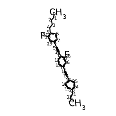 CCCCCc1ccc(C#Cc2ccc(C#Cc3ccc(CCC)cc3)cc2F)cc1F